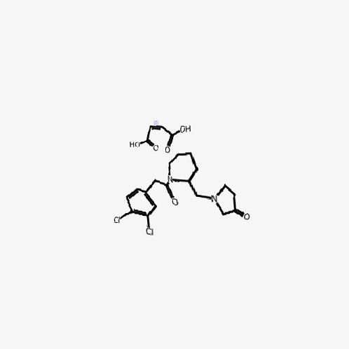 O=C(O)/C=C\C(=O)O.O=C1CCN(CC2CCCCN2C(=O)Cc2ccc(Cl)c(Cl)c2)C1